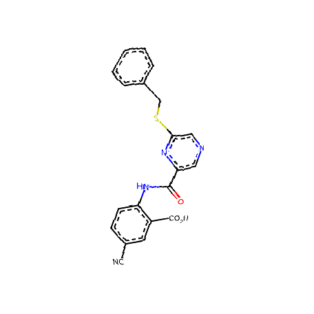 N#Cc1ccc(NC(=O)c2cncc(SCc3ccccc3)n2)c(C(=O)O)c1